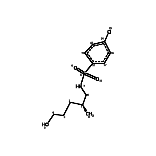 C[C@@H](CCCO)CNS(=O)(=O)c1ccc(Cl)cc1